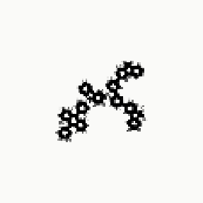 CC1(C)c2ccccc2-c2cc(-c3ccc4c(c3)c3cc(-c5ccc6c(c5)-c5ccccc5C6(C)C)ccc3n4-c3ccc4c(c3)c3ccccc3n4-c3ccc(-c4c5ccccc5c(-c5ccccc5)c5ccccc45)cc3)ccc21